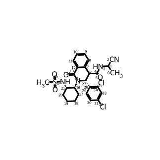 CC(C#N)NC(=O)[C@@H]1c2ccccc2C(=O)N([C@H]2CCCC[C@@H]2NS(C)(=O)=O)[C@H]1c1ccc(Cl)cc1Cl